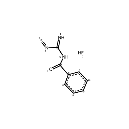 F.N=C(N=S)NC(=O)c1ccccc1